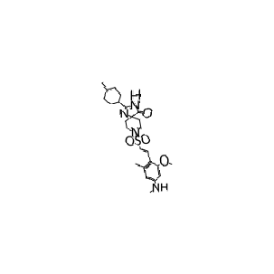 CNc1cc(C)c(/C=C/S(=O)(=O)N2CCC3(CC2)N=C(C2CCC(C)CC2)NC3=O)c(OC)c1